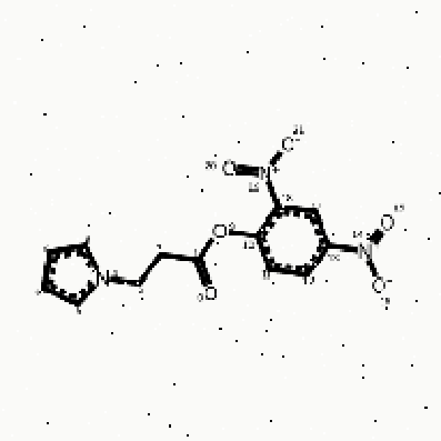 O=C(CCn1cccc1)Oc1ccc([N+](=O)[O-])cc1[N+](=O)[O-]